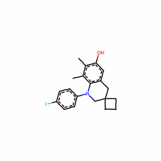 Cc1c(O)cc2c(c1C)N(c1ccc(F)cc1)CC1(CCC1)C2